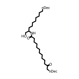 CCCCCCCCCCCCCCCCCCC(CO)NC(=O)CCCCCCCCCCC(=O)CCCCCCCCCCC